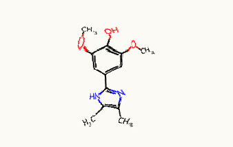 COc1cc(-c2nc(C)c(C)[nH]2)cc(OC)c1O